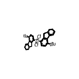 CC(C)(C)c1cc[c]([Zr]([Cl])([Cl])[c]2ccc(C(C)(C)C)c3c2Cc2ccccc2-3)c2c1-c1ccccc1C2